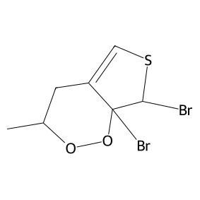 CC1CC2=CSC(Br)C2(Br)OO1